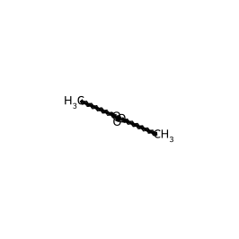 CCCCCCCCCCCCC=COC(=O)OC=CCCCCCCCCCCCC